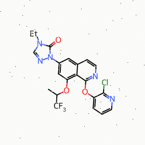 CCn1cnn(-c2cc(OC(C)C(F)(F)F)c3c(Oc4cccnc4Cl)nccc3c2)c1=O